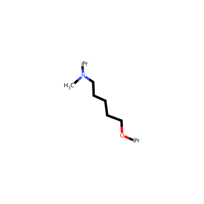 CC(C)OCCCCCN(C)C(C)C